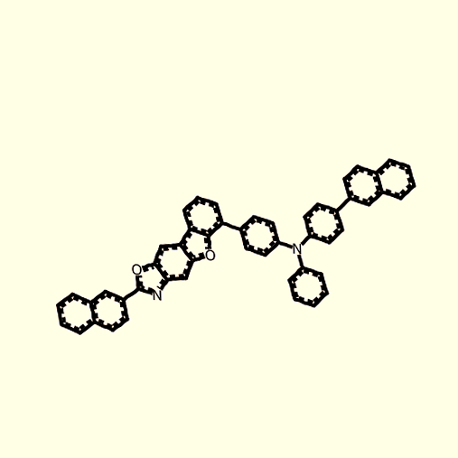 c1ccc(N(c2ccc(-c3ccc4ccccc4c3)cc2)c2ccc(-c3cccc4c3oc3cc5nc(-c6ccc7ccccc7c6)oc5cc34)cc2)cc1